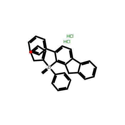 Cl.Cl.[CH2]=[Zr]([C]1=CC=CC1)([c]1ccccc1)[c]1c(-c2ccccc2)ccc2c1Cc1ccccc1-2